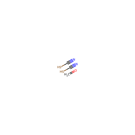 C=O.N#CS.N#CS